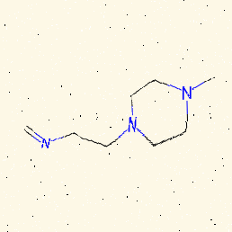 C=NCCN1CCN(C)CC1